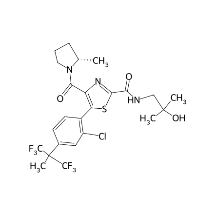 C[C@H]1CCCN1C(=O)c1nc(C(=O)NCC(C)(C)O)sc1-c1ccc(C(C)(C(F)(F)F)C(F)(F)F)cc1Cl